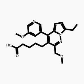 CCc1ccc2c(-c3cncc(OC)c3)c(CCCCC(=O)O)c(COC)nn12